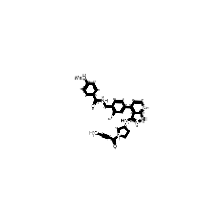 CC#CC(=O)N1CC[C@@H](Nc2n[nH]c3nccc(-c4ccc(CNC(=O)c5ccc(OC)cc5)c(F)c4)c23)C1